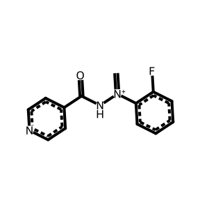 C=[N+](NC(=O)c1ccncc1)c1ccccc1F